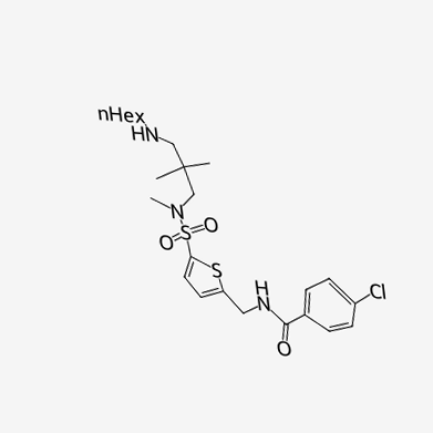 CCCCCCNCC(C)(C)CN(C)S(=O)(=O)c1ccc(CNC(=O)c2ccc(Cl)cc2)s1